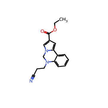 CCOC(=O)c1cc2n(c1)CN(CCC#N)c1ccccc1-2